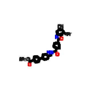 COC(=O)c1ccc(C2CCC(CNC(=O)c3ccc(-c4nc5cc(C#N)cc(C(C)C)c5o4)cc3)CC2)cc1